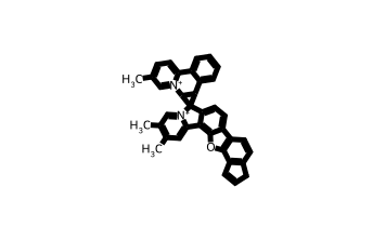 Cc1ccc2[n+](c1)C1C(c3ccccc3-2)C12c1ccc3c(oc4c5c(ccc43)CC=C5)c1-c1cc(C)c(C)c[n+]12